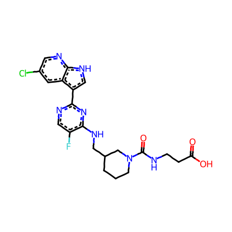 O=C(O)CCNC(=O)N1CCCC(CNc2nc(-c3c[nH]c4ncc(Cl)cc34)ncc2F)C1